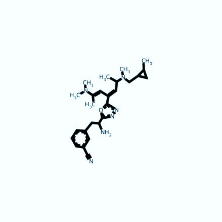 C/C(=C\C(=C/C(C)N(C)CC1CC1C)c1nnc(C(N)Cc2cccc(C#N)c2)o1)N(C)C